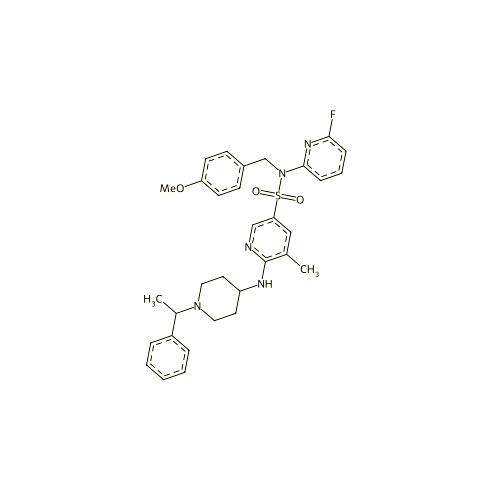 COc1ccc(CN(c2cccc(F)n2)S(=O)(=O)c2cnc(NC3CCN(C(C)c4ccccc4)CC3)c(C)c2)cc1